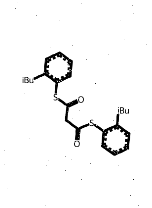 CCC(C)c1ccccc1SC(=O)CC(=O)Sc1ccccc1C(C)CC